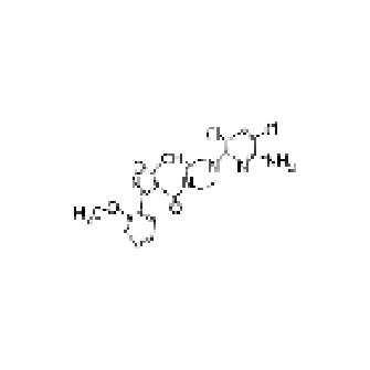 COc1ccccc1-c1noc(C)c1C(=O)N1CCN(c2nc(N)c(Cl)cc2Cl)CC1